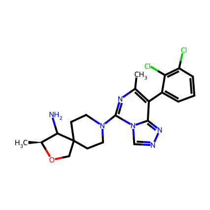 Cc1nc(N2CCC3(CC2)CO[C@@H](C)C3N)n2cnnc2c1-c1cccc(Cl)c1Cl